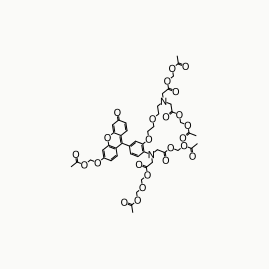 CC(=O)OCOCOC(=O)CN(CC(=O)OCOC(C)=O)c1ccc(-c2c3ccc(=O)cc-3oc3cc(OCOC(C)=O)ccc23)cc1OCCOCCN(CC(=O)OCOC(C)=O)CC(=O)OCOC(C)=O